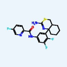 NC1=NC2(c3cc(NC(=O)c4ccc(F)cn4)cc(F)c3F)CCCCC2CS1